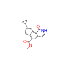 COC(=O)c1cc2cc[nH]c(=O)c2c2cc(C3CC3)ccc12